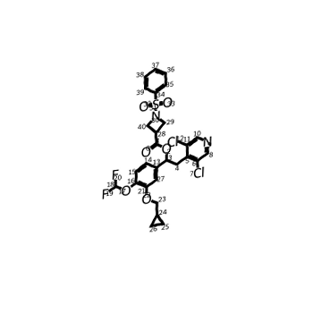 O=C(OC(Cc1c(Cl)cncc1Cl)c1ccc(OC(F)F)c(OCC2CC2)c1)C1CN(S(=O)(=O)c2ccccc2)C1